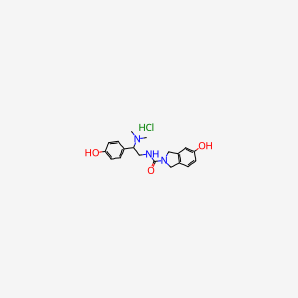 CN(C)C(CNC(=O)N1Cc2ccc(O)cc2C1)c1ccc(O)cc1.Cl